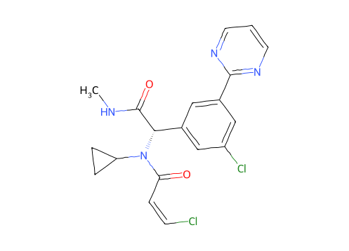 CNC(=O)[C@H](c1cc(Cl)cc(-c2ncccn2)c1)N(C(=O)/C=C\Cl)C1CC1